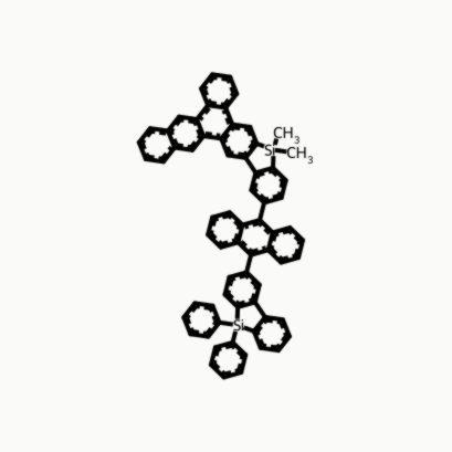 C[Si]1(C)c2ccc(-c3c4ccccc4c(-c4ccc5c(c4)-c4ccccc4[Si]5(c4ccccc4)c4ccccc4)c4ccccc34)cc2-c2cc3c(cc21)c1ccccc1c1cc2ccccc2cc31